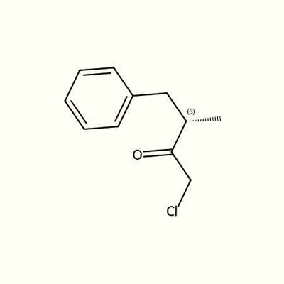 C[C@@H](Cc1ccccc1)C(=O)CCl